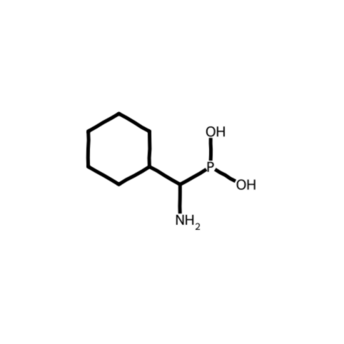 NC(C1CCCCC1)P(O)O